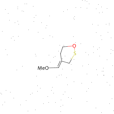 COC=C1CCOSC1